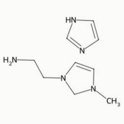 CN1C=CN(CCN)C1.c1c[nH]cn1